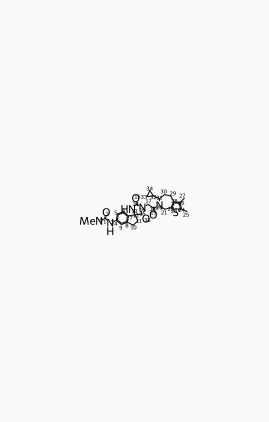 CNC(=O)Nc1ccc2c(c1)CCC21NC(=O)N(CC(=O)N2Cc3sc(C)c(C)c3CCC2C2CC2)C1=O